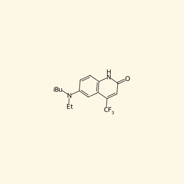 CCC(C)N(CC)c1ccc2[nH]c(=O)cc(C(F)(F)F)c2c1